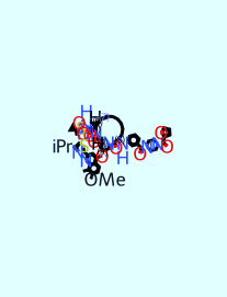 COc1ccc2c(O[C@@H]3C[C@H]4C(=O)N[C@]5(C(=O)NS(=O)(=O)C6(C)CC6)C[C@H]5/C=C\CCCCC[C@H](Nc5cccc(C(=O)N6CCN(C(=O)c7ccco7)CC6)c5)C(=O)N4C3)cc(-c3nc(C(C)C)cs3)nc2c1C